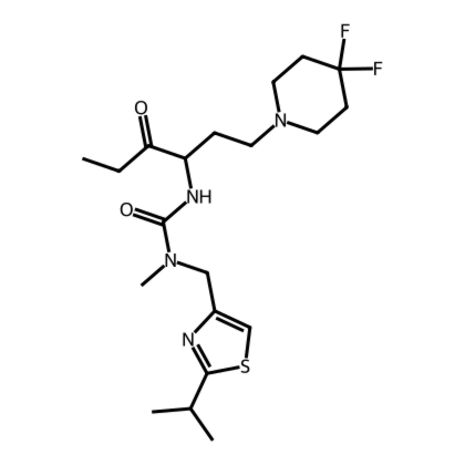 CCC(=O)C(CCN1CCC(F)(F)CC1)NC(=O)N(C)Cc1csc(C(C)C)n1